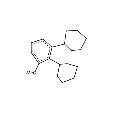 COc1cccc(C2CCCCC2)c1C1CCCCC1